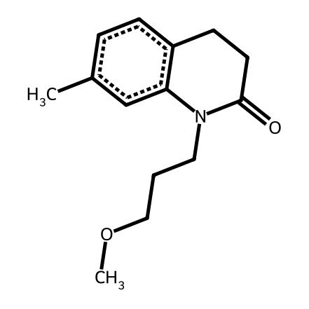 COCCCN1C(=O)CCc2ccc(C)cc21